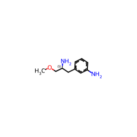 COC[C@@H](N)Cc1cccc(N)c1